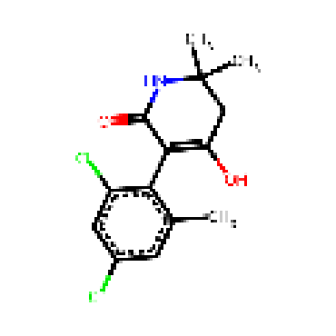 Cc1cc(Cl)cc(Cl)c1C1=C(O)CC(C)(C)NC1=O